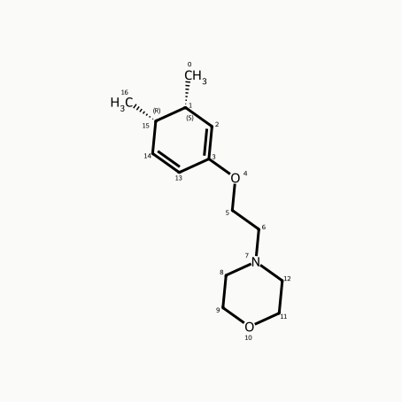 C[C@@H]1C=C(OCCN2CCOCC2)C=C[C@@H]1C